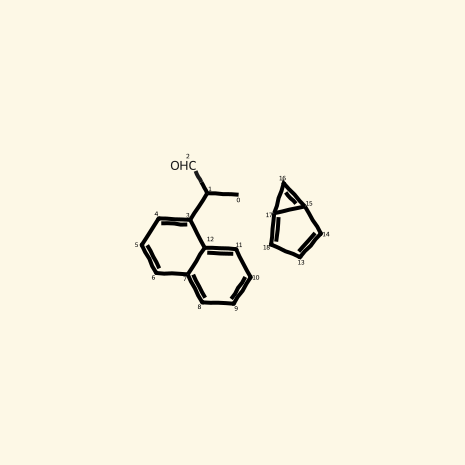 CC(C=O)c1cccc2ccccc12.c1cc2cc-2c1